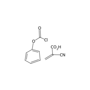 C=C(C#N)C(=O)O.O=C(Cl)Oc1ccccc1